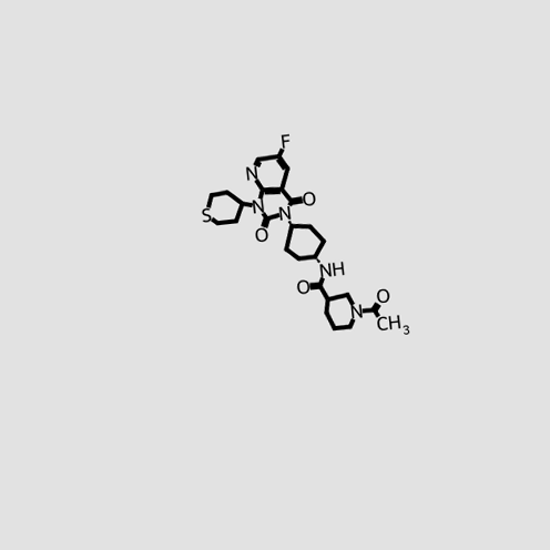 CC(=O)N1CCCC(C(=O)N[C@H]2CC[C@@H](n3c(=O)c4cc(F)cnc4n(C4CCSCC4)c3=O)CC2)C1